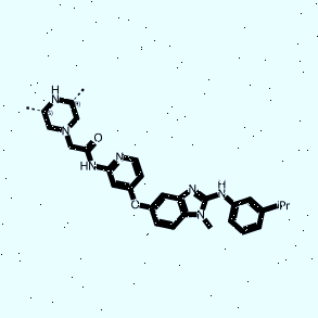 CC(C)c1cccc(Nc2nc3cc(Oc4ccnc(NC(=O)CN5C[C@@H](C)N[C@@H](C)C5)c4)ccc3n2C)c1